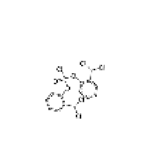 O=P(Cl)(Oc1ccccc1C(Cl)Cl)Oc1ccccc1C(Cl)Cl